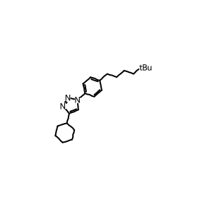 CC(C)(C)CCCCc1ccc(-n2cc(C3CCCCC3)nn2)cc1